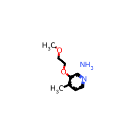 COCCOc1cnccc1C.N